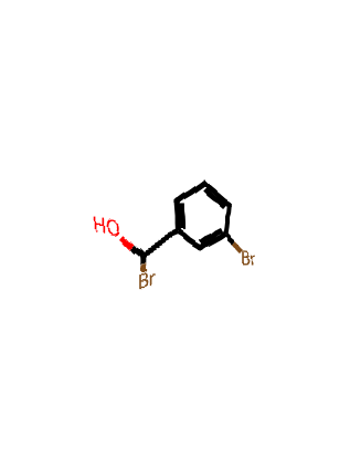 OC(Br)c1cccc(Br)c1